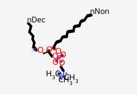 CCCCCCCCCC=CC=CC=CC=CC=CC=CC(=O)O[C@H](CO/C=C\CCCCCCCCCCCCCCCC)COP(=O)([O-])OCC[N+](C)(C)C